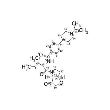 CC[C@H](C)[C@H](NC(=O)c1ccc(C2CCN(C(C)C)CC2)cc1)C(=O)N1CC[C@H]2OCC(=O)[C@H]21